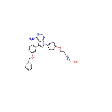 Nc1ncnc2c1c(-c1cccc(OCc3ccccc3)c1)cn2-c1ccc(OCCNCCO)cc1